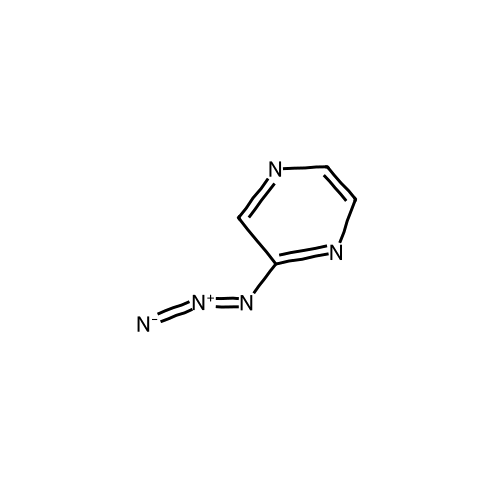 [N-]=[N+]=Nc1cnccn1